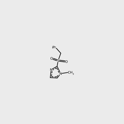 CC(C)CS(=O)(=O)c1nccn1C